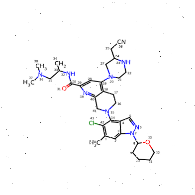 Cc1cc2c(cnn2C2CCCCO2)c(N2CCc3c(N4CCNC(CC#N)C4)cc(C(=O)NC(C)CN(C)C)nc3C2)c1Cl